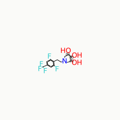 O[C@H]1[C@H](O)CN(CCc2c(F)cc(C(F)(F)F)cc2F)C[C@@H]1O